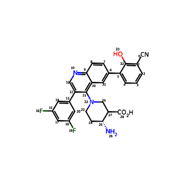 N#Cc1cccc(-c2ccc3ncc(-c4cc(F)cc(F)c4)c(N4CC[C@@H](N)C(C(=O)O)C4)c3c2)c1O